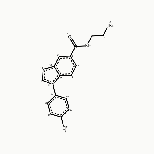 CC(C)(C)CCNC(=O)c1ccc2c(ccn2-c2ccc(C(F)(F)F)cc2)c1